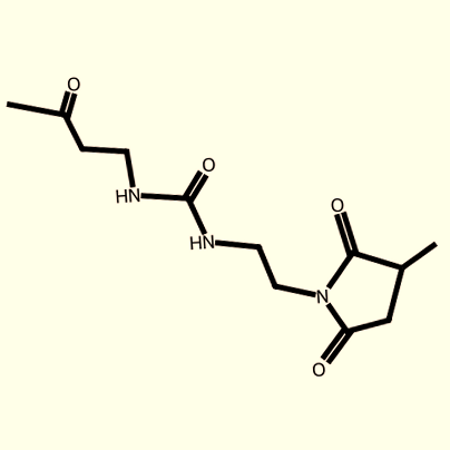 CC(=O)CCNC(=O)NCCN1C(=O)CC(C)C1=O